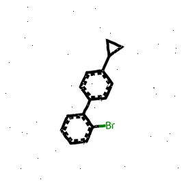 Brc1ccccc1-c1ccc(C2CC2)cc1